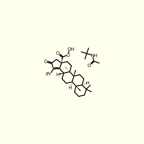 CC(=O)NC(C)(C)C.CC(C)C1=C2[C@H]3CC[C@@H]4[C@@]5(C)CCCC(C)(C)[C@@H]5CC[C@@]4(C)[C@]3(C)CC[C@@]2(C(=O)OO)CC1=O